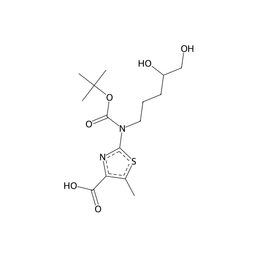 Cc1sc(N(CCCC(O)CO)C(=O)OC(C)(C)C)nc1C(=O)O